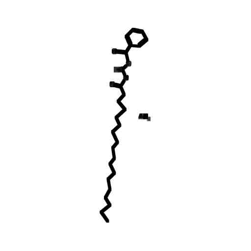 CCCCCCCCCCCCCCCCCC(=O)[O][AlH][O]C(=O)c1ccccc1.[AlH3]